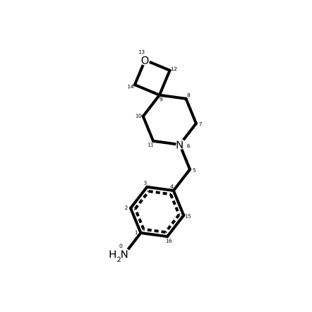 Nc1ccc(CN2CCC3(CC2)COC3)cc1